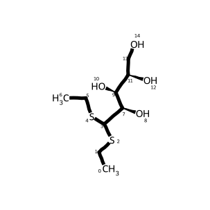 CCSC(SCC)[C@H](O)[C@@H](O)[C@H](O)CO